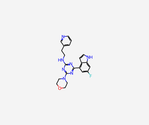 Fc1cc(-c2nc(NCCc3cccnc3)nc(N3CCOCC3)n2)c2cc[nH]c2c1